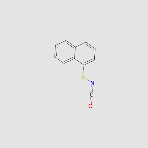 O=C=NSc1cccc2ccccc12